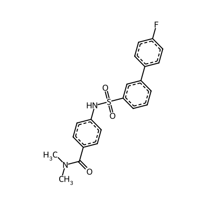 CN(C)C(=O)c1ccc(NS(=O)(=O)c2cccc(-c3ccc(F)cc3)c2)cc1